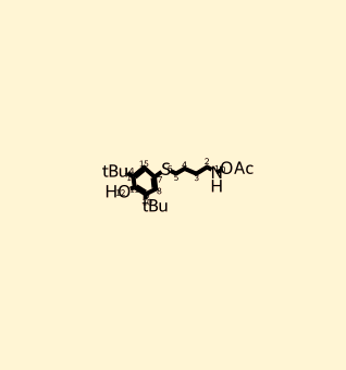 CC(=O)ONCCCCSc1cc(C(C)(C)C)c(O)c(C(C)(C)C)c1